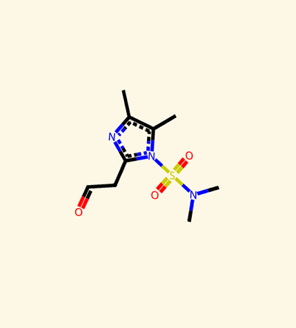 Cc1nc(CC=O)n(S(=O)(=O)N(C)C)c1C